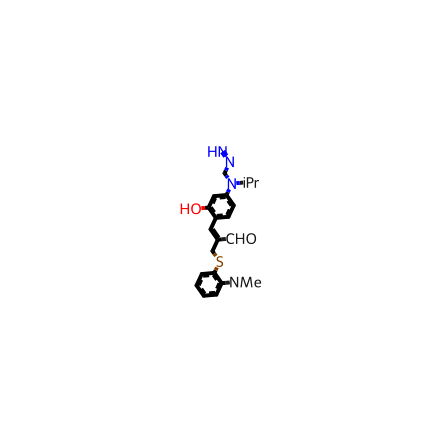 CNc1ccccc1SC/C(C=O)=C/c1ccc(N(CN=N)C(C)C)cc1O